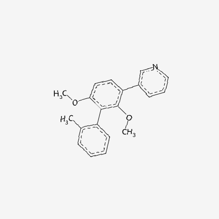 COc1ccc(-c2cccnc2)c(OC)c1-c1ccccc1C